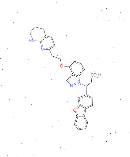 O=C(O)CC(c1ccc2c(c1)oc1ccccc12)n1ncc2c(OCCc3ccc4c(n3)NCCC4)cccc21